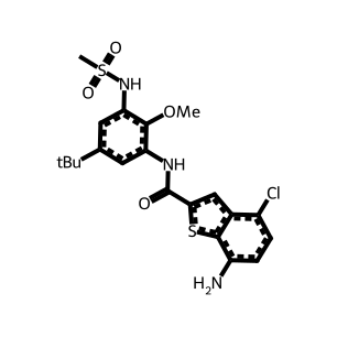 COc1c(NC(=O)c2cc3c(Cl)ccc(N)c3s2)cc(C(C)(C)C)cc1NS(C)(=O)=O